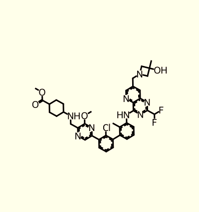 COC(=O)C1CCC(NCc2ncc(-c3cccc(-c4cccc(Nc5nc(C(F)F)nc6cc(CN7CC(C)(O)C7)cnc56)c4C)c3Cl)nc2OC)CC1